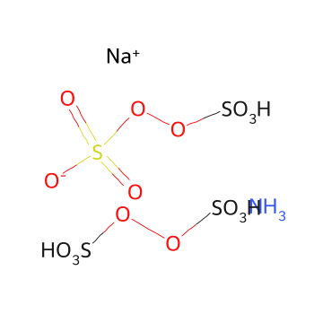 N.O=S(=O)(O)OOS(=O)(=O)O.O=S(=O)([O-])OOS(=O)(=O)O.[Na+]